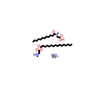 CCCCCCCCCCCC(=O)N(C)CC(=O)O.CCCCCCCCCCCCCCCC(=O)OC(=O)CNC.N.[Na]